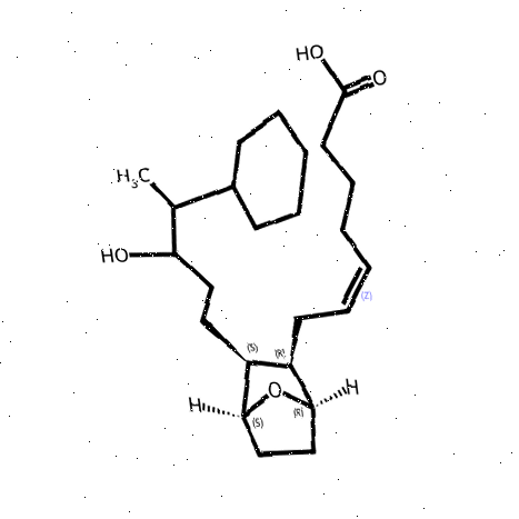 CC(C(O)CC[C@H]1[C@@H](C/C=C\CCCC(=O)O)[C@H]2CC[C@@H]1O2)C1CCCCC1